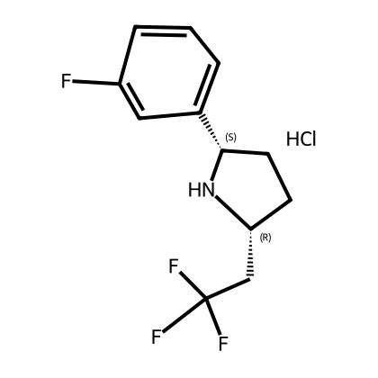 Cl.Fc1cccc([C@@H]2CC[C@H](CC(F)(F)F)N2)c1